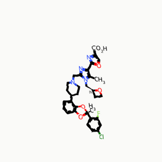 Cc1c(-c2nc(C(=O)O)co2)nc(CN2CCC(c3cccc4c3O[C@@](C)(c3ccc(Cl)cc3F)O4)CC2)n1C[C@@H]1CCO1